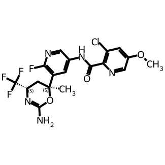 COc1cnc(C(=O)Nc2cnc(F)c([C@]3(C)C[C@@H](C(F)(F)F)N=C(N)O3)c2)c(Cl)c1